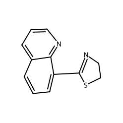 c1cnc2c(C3=NCCS3)cccc2c1